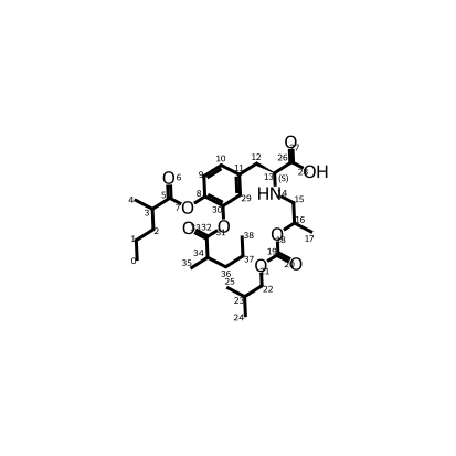 CCCC(C)C(=O)Oc1ccc(C[C@H](NCC(C)OC(=O)OCC(C)C)C(=O)O)cc1OC(=O)C(C)CCC